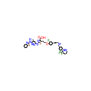 Cc1cc(N(C)c2nc(C(=O)O)c(CCCOc3ccc(C#CCN(C)Cc4ccc(C5(C(F)(F)F)C=CC=CN=N5)cc4)cc3F)s2)nnc1Nc1nc2ccccc2s1